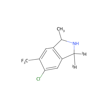 [2H]C1([2H])NC(C)c2cc(C(F)(F)F)c(Cl)cc21